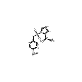 COc1cnc(CS(=O)(=O)n2cnnc2C(N)=O)nc1